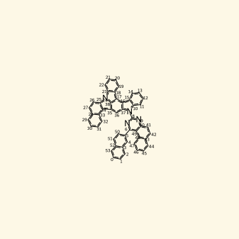 c1ccc2cc(-c3nc(-n4c5ccccc5c5c6c7ccccc7n7c8ccc9ccccc9c8c(cc54)c67)nc4ccc5ccccc5c34)ccc2c1